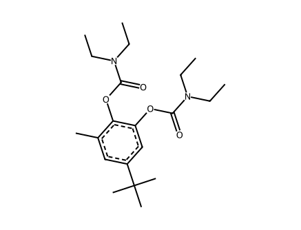 CCN(CC)C(=O)Oc1cc(C(C)(C)C)cc(C)c1OC(=O)N(CC)CC